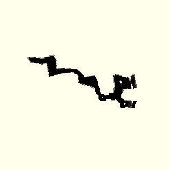 CCCCCCON(O)O